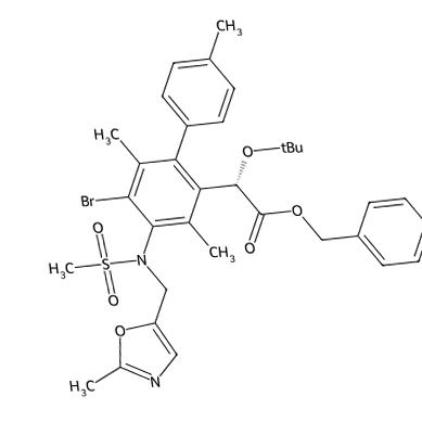 Cc1ccc(-c2c(C)c(Br)c(N(Cc3cnc(C)o3)S(C)(=O)=O)c(C)c2[C@H](OC(C)(C)C)C(=O)OCc2ccccc2)cc1